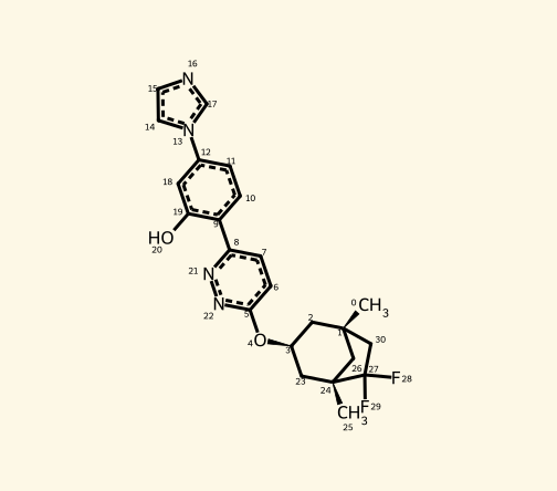 C[C@]12C[C@H](Oc3ccc(-c4ccc(-n5ccnc5)cc4O)nn3)C[C@](C)(C1)C(F)(F)C2